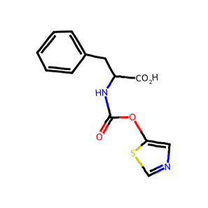 O=C(NC(Cc1ccccc1)C(=O)O)Oc1cncs1